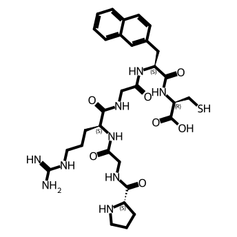 N=C(N)NCCC[C@H](NC(=O)CNC(=O)[C@@H]1CCCN1)C(=O)NCC(=O)N[C@@H](Cc1ccc2ccccc2c1)C(=O)N[C@@H](CS)C(=O)O